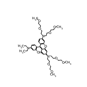 CCN(CC)c1ccc(-c2c3ccc(=[N+](CCOCCOC)CCOCCOC)cc-3oc3cc(N(CCOCCOC)CCOCCOC)ccc23)c(O)c1